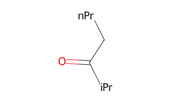 [CH2]C(C)C(=O)CCCC